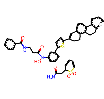 NC(=O)CC1C=CC=CS1(=O)=O.O=C(NCCC(=O)N(O)c1cccc(-c2ccc(C3=Cc4ccc5c(c4CC3)CCc3ccccc3-5)s2)c1)c1ccccc1